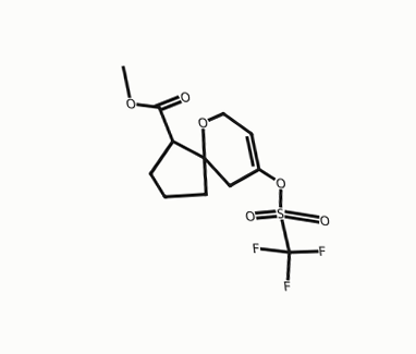 COC(=O)C1CCCC12CC(OS(=O)(=O)C(F)(F)F)=CCO2